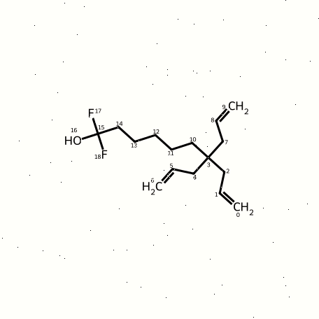 C=CCC(CC=C)(CC=C)CCCCCC(O)(F)F